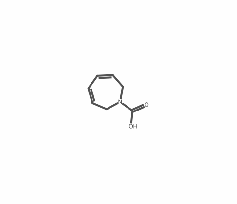 O=C(O)N1CC=CC=CC1